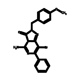 COc1ccc(Cn2nc3c(Br)c(-c4ccccc4)nc(N)n3c2=O)cc1